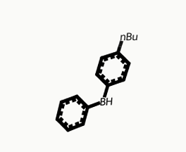 CCCCc1ccc(Bc2ccccc2)cc1